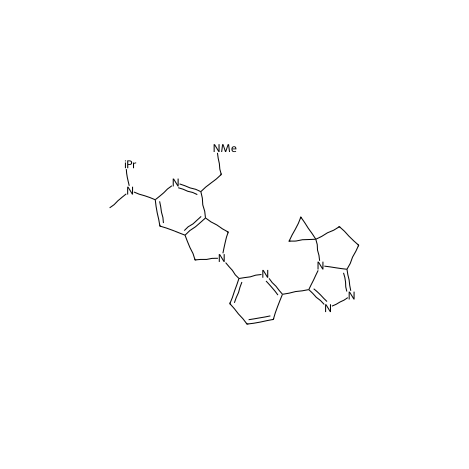 CNCc1nc(N(C)C(C)C)cc2c1CN(c1cccc(-c3nnc4n3C3(CC4)CC3)n1)C2